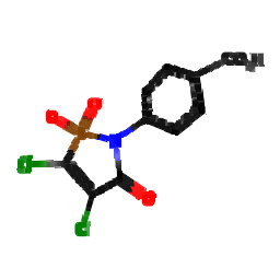 O=C(O)c1ccc(N2C(=O)C(Cl)=C(Cl)S2(=O)=O)cc1